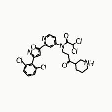 O=C(CCN(C(=O)C(Cl)Cl)c1ccnc(-c2cc(-c3c(Cl)cccc3Cl)no2)c1)C1CCCNC1